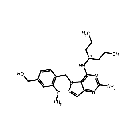 CCC[C@@H](CCO)Nc1nc(N)nc2cnn(Cc3ccc(CO)cc3OC)c12